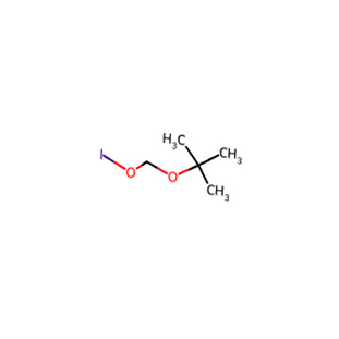 CC(C)(C)OCOI